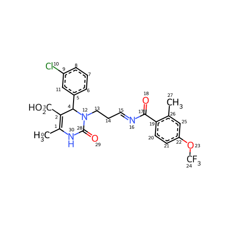 CC1=C(C(=O)O)C(c2cccc(Cl)c2)N(CCC=NC(=O)c2ccc(OC(F)(F)F)cc2C)C(=O)N1